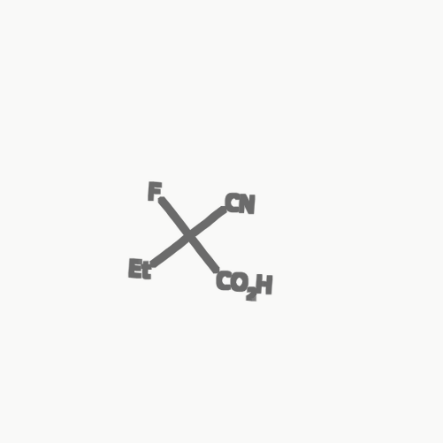 CCC(F)(C#N)C(=O)O